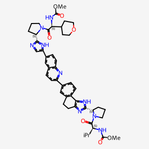 COC(=O)N[C@H](C(=O)N1CCC[C@H]1c1nc2c([nH]1)-c1ccc(-c3ccc4cc(-c5cnc([C@@H]6CCCN6C(=O)[C@@H](NC(=O)OC)C6CCOCC6)[nH]5)ccc4n3)cc1CC2)C(C)C